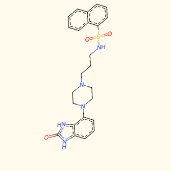 O=c1[nH]c2cccc(N3CCN(CCCNS(=O)(=O)c4cccc5ccccc45)CC3)c2[nH]1